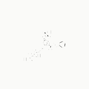 CS(=O)(=O)O[C@@H]1C[C@@H](COCC(=O)NC(N)=O)N(C(=O)OCc2ccccc2)C1